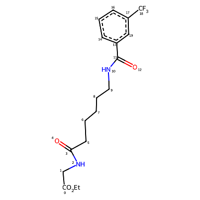 CCOC(=O)CNC(=O)CCCCCNC(=O)c1cccc(C(F)(F)F)c1